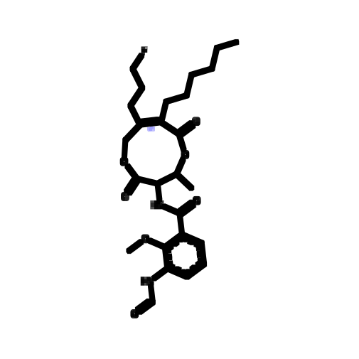 CCCCCC/C1=C(\CCCF)COC(=O)C(NC(=O)c2cccc(NC=O)c2OC)C(C)OC1=O